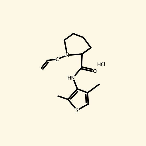 C=CCN1CCCCC1C(=O)Nc1c(C)csc1C.Cl